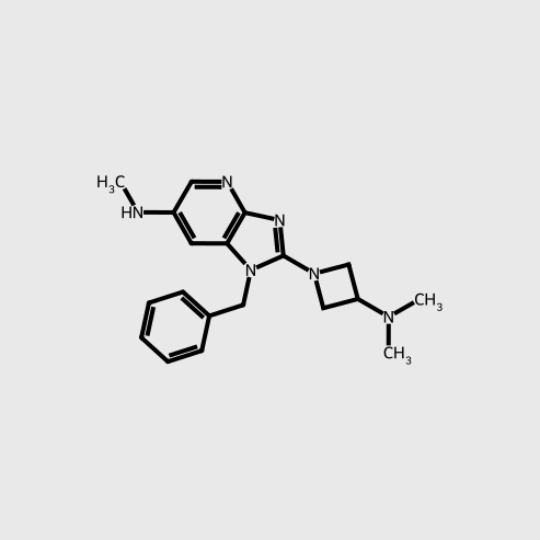 CNc1cnc2nc(N3CC(N(C)C)C3)n(Cc3ccccc3)c2c1